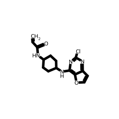 C=CC(=O)NC1CCC(Nc2nc(Cl)nc3ccoc23)CC1